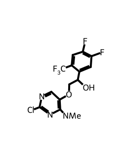 CNc1nc(Cl)ncc1OCC(O)c1cc(F)c(F)cc1C(F)(F)F